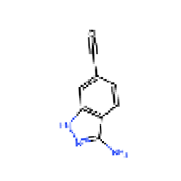 C#Cc1ccc2c(N)n[nH]c2c1